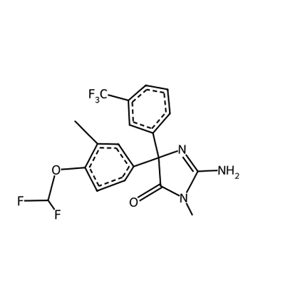 Cc1cc(C2(c3cccc(C(F)(F)F)c3)N=C(N)N(C)C2=O)ccc1OC(F)F